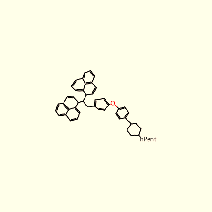 CCCCCC1CCC(c2ccc(Oc3ccc(CC(C4C=Cc5cccc6cccc4c56)C4C=Cc5cccc6cccc4c56)cc3)cc2)CC1